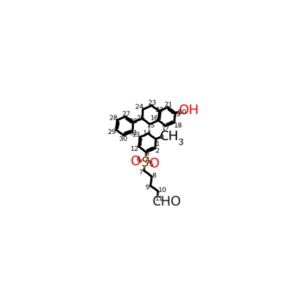 CC1C=C(S(=O)(=O)CCCCC=O)C=C[C@@H]1C1c2ccc(O)cc2CCC1c1ccccc1